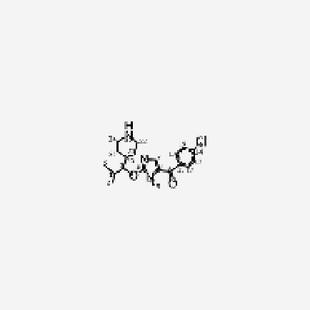 CC(C)C(Oc1ncc(C(=O)c2ccc(Cl)cc2)n1C)C1CCNCC1